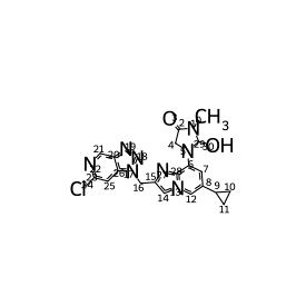 CN1C(=O)CN(c2cc(C3CC3)cn3cc(Cn4nnc5cnc(Cl)cc54)nc23)C1O